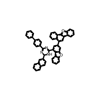 c1ccc(-c2ccc(C3=NC(c4ccc5ccccc5c4)NC(c4cc(-c5cc6c7ccccc7oc6c6ccccc56)cc5oc6ccccc6c45)=N3)cc2)cc1